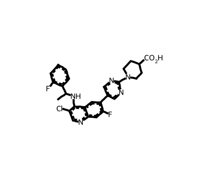 CC(Nc1c(Cl)cnc2cc(F)c(-c3cnc(N4CCC(C(=O)O)CC4)nc3)cc12)c1ccccc1F